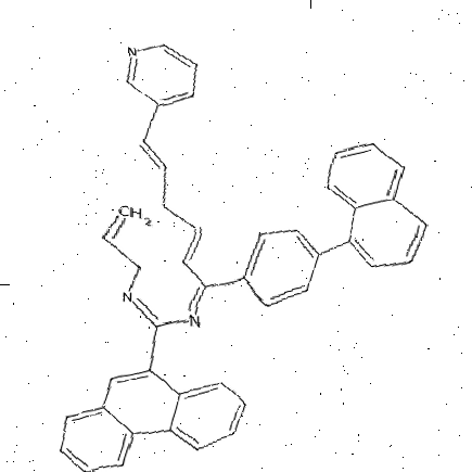 C=CC\N=C(/N=C(\C=C\C/C=C/c1cccnc1)c1ccc(-c2cccc3ccccc23)cc1)c1cc2ccccc2c2ccccc12